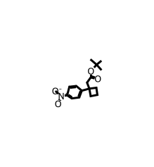 CC(C)(C)OC(=O)CC1(c2ccc([N+](=O)[O-])cc2)CCC1